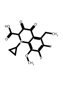 CCc1c(F)c(F)c(OC)c2c1C(=O)C(=O)C(C(=O)O)N2C1CC1